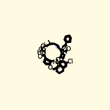 CO[C@@]1(CC(=O)c2ccccc2)/C=C/C[C@H](C)[C@@H](C)S(=O)(=O)NC(=O)c2ccc3c(c2)N(C[C@@H]2CC[C@H]21)C[C@@]1(CCCc2cc(Cl)ccc21)CO3